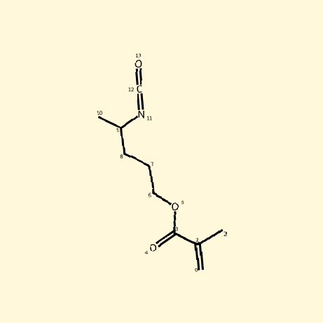 C=C(C)C(=O)OCCCC(C)N=C=O